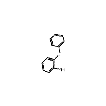 [2H]c1ccccc1Oc1ccccc1